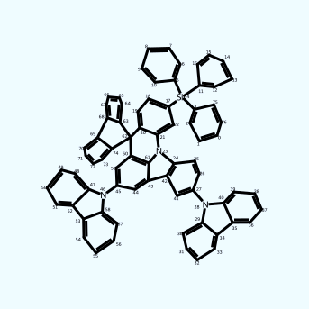 c1ccc([Si](c2ccccc2)(c2ccccc2)c2ccc3c(c2)-n2c4ccc(-n5c6ccccc6c6ccccc65)cc4c4cc(-n5c6ccccc6c6ccccc65)cc(c42)C32c3ccccc3-c3ccccc32)cc1